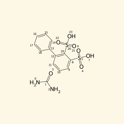 NC(N)=O.O=S(=O)(O)c1cccc(-c2ccccc2)c1S(=O)(=O)O